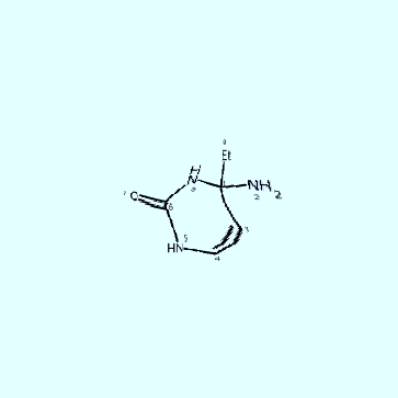 CCC1(N)C=CNC(=O)N1